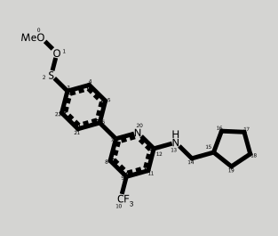 COOSc1ccc(-c2cc(C(F)(F)F)cc(NCC3CCCC3)n2)cc1